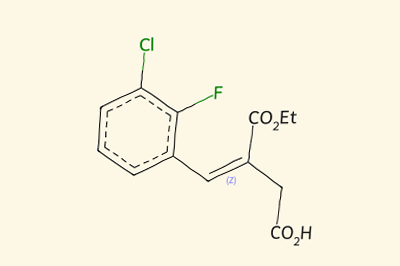 CCOC(=O)/C(=C\c1cccc(Cl)c1F)CC(=O)O